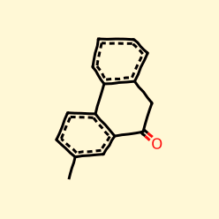 Cc1ccc2c(c1)C(=O)Cc1ccccc1-2